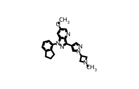 COc1cnc2c(-c3cnn(C4CN(C)C4)c3)nn(-c3cccc4c3CCC4)c2c1